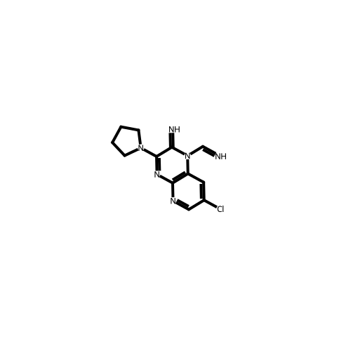 N=Cn1c(=N)c(N2CCCC2)nc2ncc(Cl)cc21